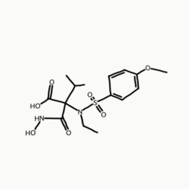 CCN(C(C(=O)O)(C(=O)NO)C(C)C)S(=O)(=O)c1ccc(OC)cc1